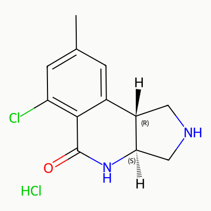 Cc1cc(Cl)c2c(c1)[C@@H]1CNC[C@H]1NC2=O.Cl